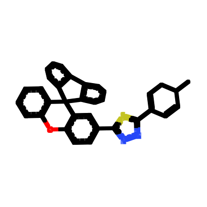 CC1C=CC(c2nnc(-c3ccc4c(c3)C3(c5ccccc5O4)c4ccccc4-c4ccccc43)s2)=CC1